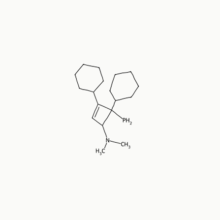 CN(C)C1C=C(C2CCCCC2)C1(P)C1CCCCC1